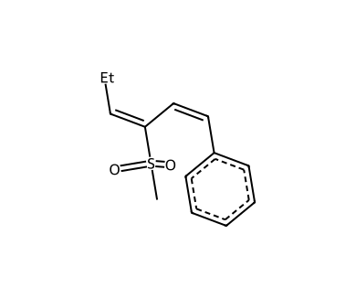 CC/C=C(\C=C/c1ccccc1)S(C)(=O)=O